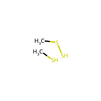 CS.CSS